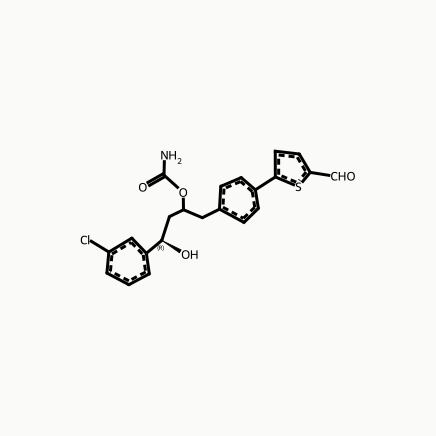 NC(=O)OC(Cc1ccc(-c2ccc(C=O)s2)cc1)C[C@@H](O)c1cccc(Cl)c1